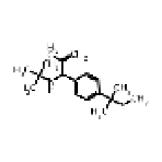 C=C(C)C(NC(C)(C)C)c1ccc(C(C)(C)SC)cc1